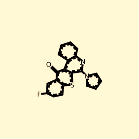 O=c1c2cc(F)ccc2sc2c(-n3cccc3)nc3ccccc3c12